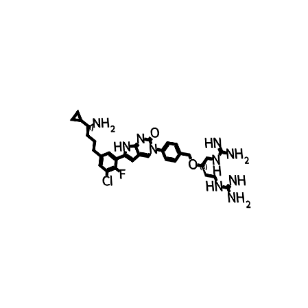 N=C(N)NCC[C@H](CNC(=N)N)OCc1ccc(-n2cc3cc(-c4cc(CCC[C@@H](N)C5CC5)cc(Cl)c4F)[nH]c3nc2=O)cc1